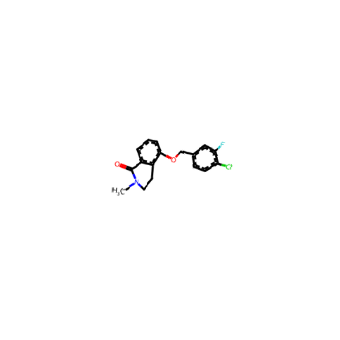 CN1CCc2c(OCc3ccc(Cl)c(F)c3)cccc2C1=O